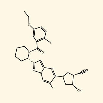 CCSc1ccc(F)c(C(=O)N2CCCC[C@H]2c2cc3nc(N4C[C@@H](C#N)[C@@H](O)C4)c(C)cn3n2)c1